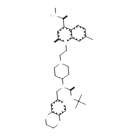 CNC(=O)c1cc(=O)n(CCN2CCC(N(Cc3cc4c(cn3)OCCO4)C(=O)OC(C)(C)C)CC2)c2cc(C)ccc12